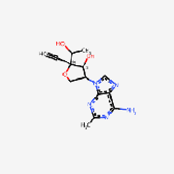 C#C[C@]1(C(C)O)OCC(n2cnc3c(N)nc(C)nc32)[C@@H]1O